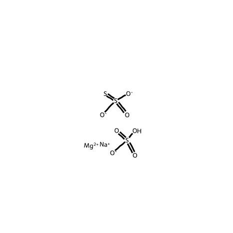 O=S(=O)([O-])O.O=S([O-])([O-])=S.[Mg+2].[Na+]